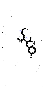 C=N/C(=C\C=C/C)c1cc2cc(F)ccc2nc1C